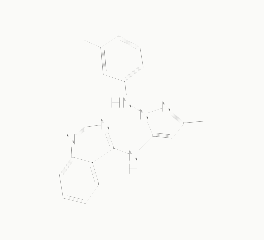 Cc1cccc(Nn2nc(C)cc2Nc2ncnc3ccccc23)c1